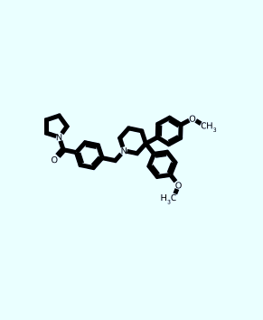 COc1ccc(C2(c3ccc(OC)cc3)CCCN(Cc3ccc(C(=O)N4CCCC4)cc3)C2)cc1